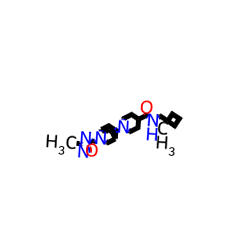 Cc1noc(N2CC3CCC2=CC3N2CCC(C(=O)NCC3(C)CCC3)CC2)n1